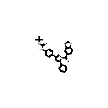 CC(C)(C)OC(=O)Nc1ccc(C2=NN(C(=O)c3ccc4c(c3)OCO4)C(c3ccccc3)C2)cc1